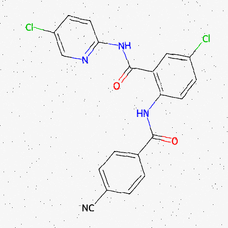 N#Cc1ccc(C(=O)Nc2ccc(Cl)cc2C(=O)Nc2ccc(Cl)cn2)cc1